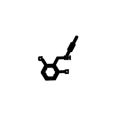 CC#CNCc1c(Cl)cccc1Cl